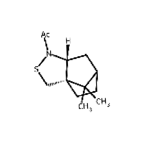 CC(=O)N1SC[C@]23CCC(C[C@@H]12)C3(C)C